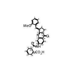 COc1ccccc1C=C1CCn2c1nc1cc(NC(=O)[C@H]3CC=CC[C@H]3C(=O)O)ccc1c2=O